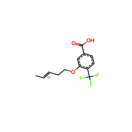 C/C=C/CCOc1cc(C(=O)O)ccc1C(F)(F)F